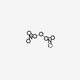 C1=CC(n2c3ccccc3c3cc(-c4cccc(-c5ccc6c(c5)c5ccccc5n6-c5ccccc5)c4)ccc32)=CCC1